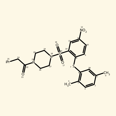 Cc1ccc(C)c(Sc2ccc([N+](=O)[O-])cc2S(=O)(=O)N2CCN(C(=O)CC(C)C)CC2)c1